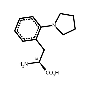 N[C@@H](Cc1ccccc1N1CCCC1)C(=O)O